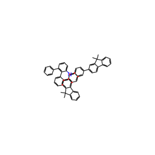 CC1(C)c2ccccc2-c2cc(N(c3ccc(-c4ccc5c(c4)C(C)(C)c4ccccc4-5)cc3)c3cccc(-c4ccccc4)c3-c3ccccc3-c3ccccc3)ccc21